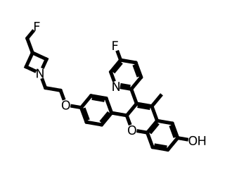 CC1=C(c2ccc(F)cn2)C(c2ccc(OCCN3CC(CF)C3)cc2)Oc2ccc(O)cc21